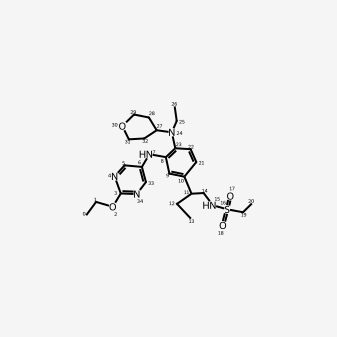 CCOc1ncc(Nc2cc(C(CC)CNS(=O)(=O)CC)ccc2N(CC)C2CCOCC2)cn1